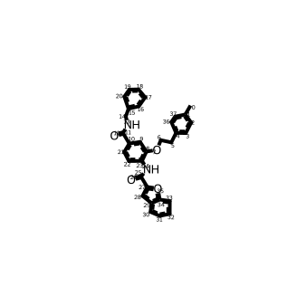 Cc1ccc(CCOc2cc(C(=O)NCc3ccccc3)ccc2NC(=O)c2cc3ccccc3o2)cc1